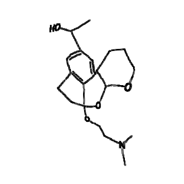 CC(O)c1ccc2c(c1)CCC2(OCCN(C)C)OC1CCCCO1